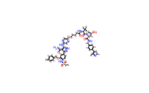 CCS(=O)(=O)Nc1ccc(-c2n[nH]c(Nc3cnc(OCCCCC(=O)N[C@H](C(=O)N4C[C@H](O)C[C@H]4C(=O)NCc4ccc(-c5scnc5C)cc4)C(C)(C)C)cn3)c2C(N)=O)cc1OCc1ccc(F)cc1